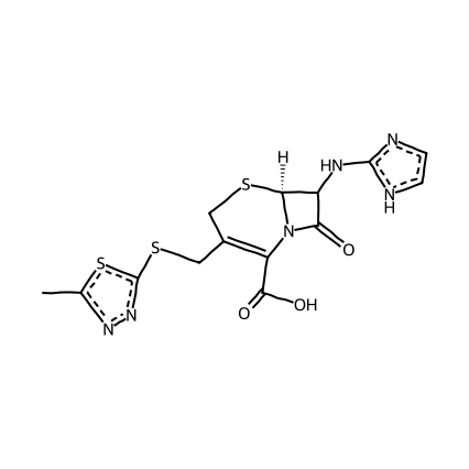 Cc1nnc(SCC2=C(C(=O)O)N3C(=O)C(Nc4ncc[nH]4)[C@@H]3SC2)s1